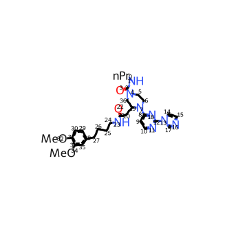 CCCNC(=O)N1CCN(c2ccnc(-n3ccnc3)n2)C(CC(=O)NCCCCc2ccc(OC)c(OC)c2)C1